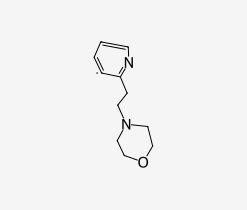 [c]1cccnc1CCN1CCOCC1